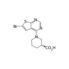 O=C(O)[C@H]1CCCN(c2ncnc3sc(Br)cc23)C1